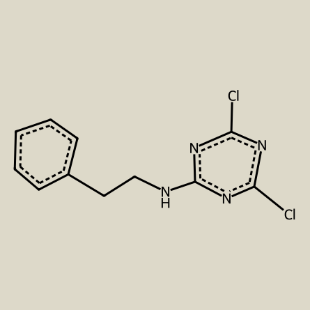 Clc1nc(Cl)nc(NCCc2ccccc2)n1